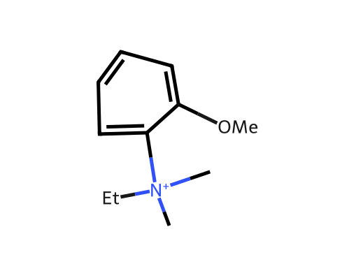 CC[N+](C)(C)c1ccccc1OC